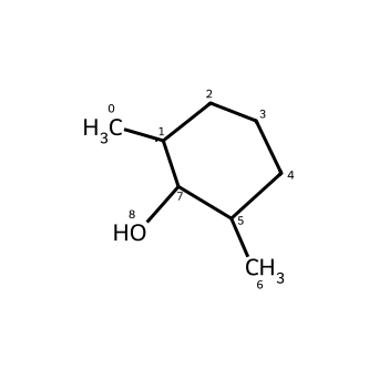 C[C]1CCCC(C)C1O